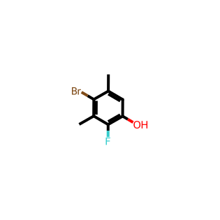 Cc1cc(O)c(F)c(C)c1Br